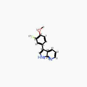 COc1ccc(-c2c[nH]c3ncccc23)cc1F